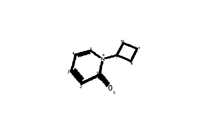 O=c1cc[c]cn1C1CCC1